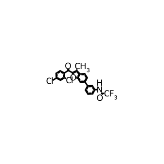 Cc1c(C(=O)c2ccc(Cl)cc2Cl)oc2cc(-c3cccc(NC(=O)C(F)(F)F)c3)ccc12